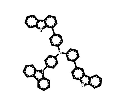 c1cc(-c2ccc3oc4ccccc4c3c2)cc(N(c2ccc(-c3cccc4c3sc3ccccc34)cc2)c2ccc(-n3c4ccccc4c4ccccc43)cc2)c1